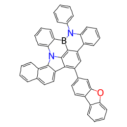 c1ccc(N2B3c4ccccc4-n4c5c3c(cc(-c3ccc6c(c3)oc3ccccc36)c5c3ccc5ccccc5c34)-c3ccccc32)cc1